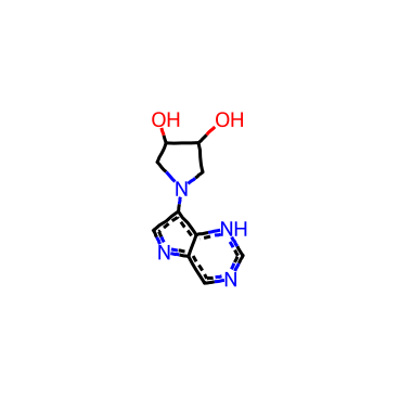 OC1CN(c2cnc3cnc[nH]c2-3)CC1O